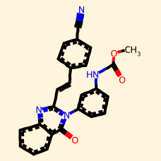 COC(=O)Nc1cccc(-n2c(/C=C/c3ccc(C#N)cc3)nc3ccccc3c2=O)c1